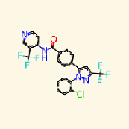 O=C(Nc1ccncc1C(F)(F)F)c1ccc(-c2cc(C(F)(F)F)nn2-c2ccccc2Cl)cc1